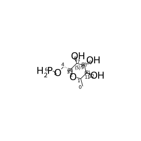 CC1O[C@H](COP)[C@@H](O)[C@H](O)[C@H]1O